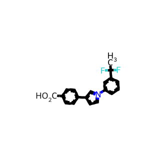 CC(F)(F)c1cccc(-n2ccc(-c3ccc(C(=O)O)cc3)c2)c1